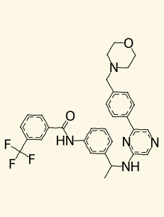 CC(Nc1cncc(-c2ccc(CN3CCOCC3)cc2)n1)c1cccc(NC(=O)c2cccc(C(F)(F)F)c2)c1